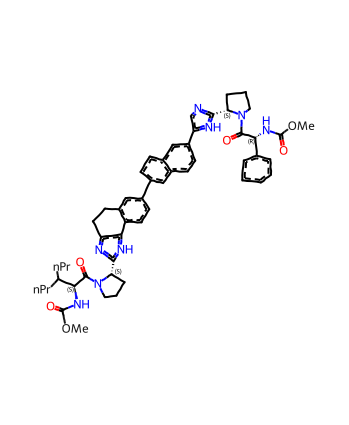 CCCC(CCC)[C@H](NC(=O)OC)C(=O)N1CCC[C@H]1c1nc2c([nH]1)-c1ccc(-c3ccc4cc(-c5cnc([C@@H]6CCCN6C(=O)[C@H](NC(=O)OC)c6ccccc6)[nH]5)ccc4c3)cc1CC2